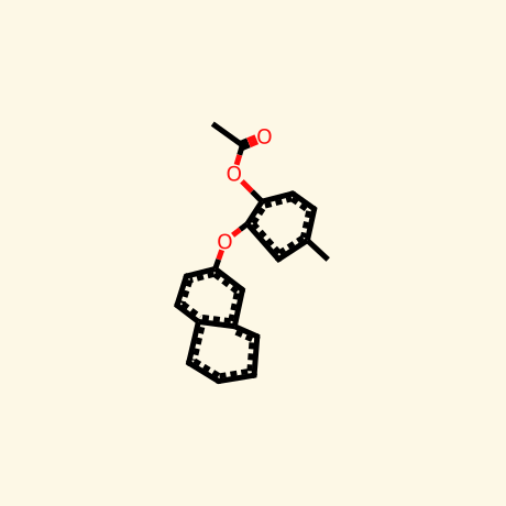 CC(=O)Oc1ccc(C)cc1Oc1ccc2ccccc2c1